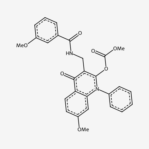 COC(=O)Oc1c(CNC(=O)c2cccc(OC)c2)c(=O)c2ccc(OC)cc2n1-c1ccccc1